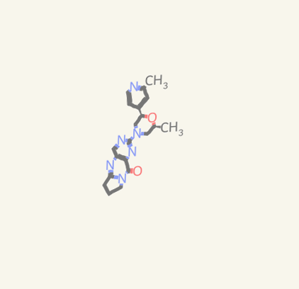 Cc1cc([C@@H]2CN(c3ncc4nc5n(c(=O)c4n3)CCC5)C[C@H](C)O2)ccn1